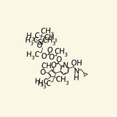 CC[C@@]1(C)C(c2ccc(C(O)NCC3CC3)nc2C(=O)OC(C)OC(=O)OC(C)CO[Si](C)(C)C(C)(C)C)=CC(OC)=C1C